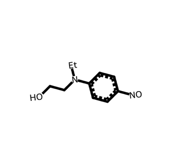 CCN(CCO)c1ccc(N=O)cc1